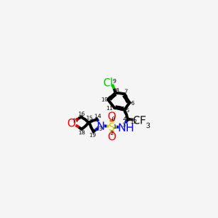 O=S(=O)(NC(c1ccc(Cl)cc1)C(F)(F)F)N1CC2(COC2)C1